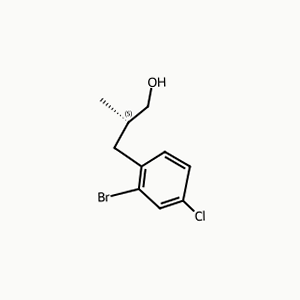 C[C@H](CO)Cc1ccc(Cl)cc1Br